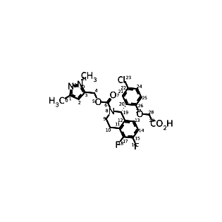 Cc1cc(COC(=O)N2CCc3c(ccc(F)c3F)[C@H]2c2cc(Cl)ccc2OCC(=O)O)n(C)n1